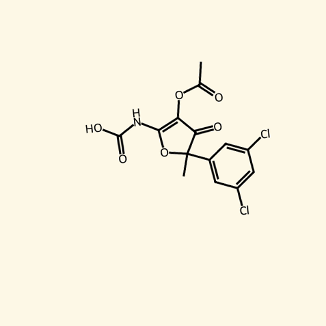 CC(=O)OC1=C(NC(=O)O)OC(C)(c2cc(Cl)cc(Cl)c2)C1=O